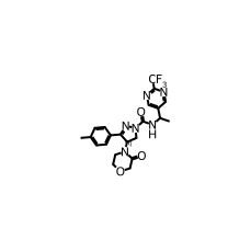 Cc1ccc(C2=NN(C(=O)NC(C)c3cnc(C(F)(F)F)nc3)C[C@H]2N2CCOCC2=O)cc1